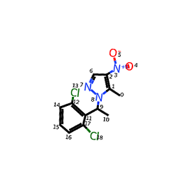 Cc1c([N+](=O)[O-])cnn1C(C)c1c(Cl)cccc1Cl